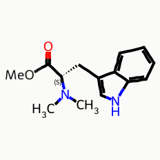 COC(=O)[C@H](Cc1c[nH]c2ccccc12)N(C)C